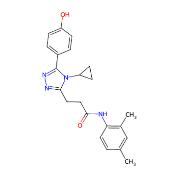 Cc1ccc(NC(=O)CCc2nnc(-c3ccc(O)cc3)n2C2CC2)c(C)c1